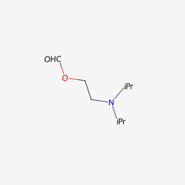 CC(C)N(CCOC=O)C(C)C